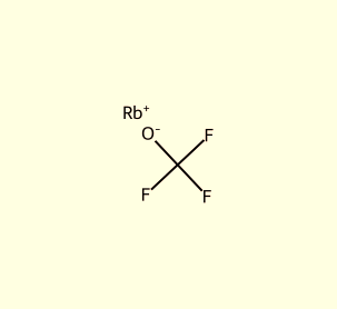 [O-]C(F)(F)F.[Rb+]